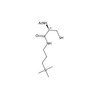 CC(=O)N[C@@H](CS)C(=O)NCCC[Si](C)(C)C